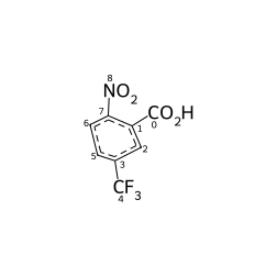 O=C(O)c1cc(C(F)(F)F)ccc1[N+](=O)[O-]